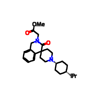 COC(=O)CN1Cc2ccccc2C2(CCN([C@H]3CC[C@@H](C(C)C)CC3)CC2)C1=O